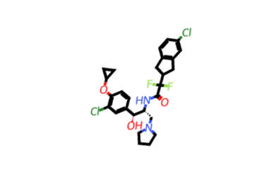 O=C(N[C@H](CN1CCCC1)[C@H](O)c1ccc(OC2CC2)c(Cl)c1)C(F)(F)C1Cc2ccc(Cl)cc2C1